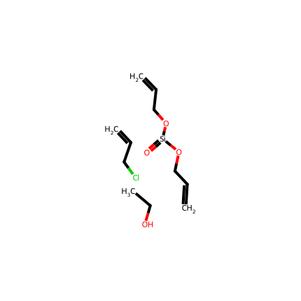 C=CCCl.C=CCO[Si](=O)OCC=C.CCO